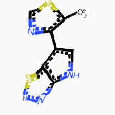 FC(F)(F)c1scnc1-c1c[nH]c2nnsc12